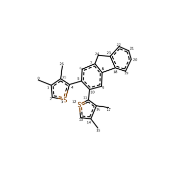 Cc1csc(-c2[c]c3c(cc2-c2scc(C)c2C)-c2ccccc2C3)c1C